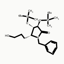 CC(C)(C)[Si](C)(C)O[C@H]1[C@@H](CCCO)N(Cc2ccccc2)C(=O)[C@@H]1O[Si](C)(C)C(C)(C)C